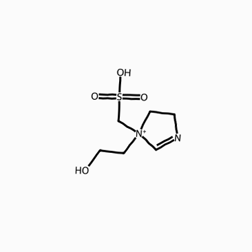 O=S(=O)(O)C[N+]1(CCO)C=NCC1